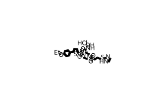 CCOc1ccc(-c2ccc(S(=O)(=O)N3CCN(S(=O)(=O)CCCSc4ncc[nH]4)C[C@@H]3C(=O)NO)s2)cc1.Cl